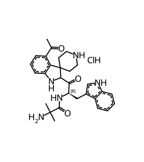 CC(=O)c1cccc2c1C1(CCNCC1)C(C(=O)[C@@H](Cc1c[nH]c3ccccc13)NC(=O)C(C)(C)N)N2.Cl